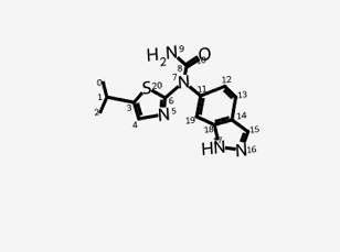 CC(C)c1cnc(N(C(N)=O)c2ccc3cn[nH]c3c2)s1